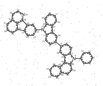 c1ccc(-n2c3ccc(-c4ccc5c(c4)c4ccccc4n5-c4ccc5c(c4)-c4nccc6cccc-5c46)cc3c3c4ccccc4ccc32)cc1